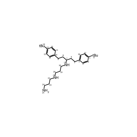 CC(C)(C)c1ccc(CCC(CCc2ccc(C(C)(C)C)cc2)NCCCNCCCN)cc1